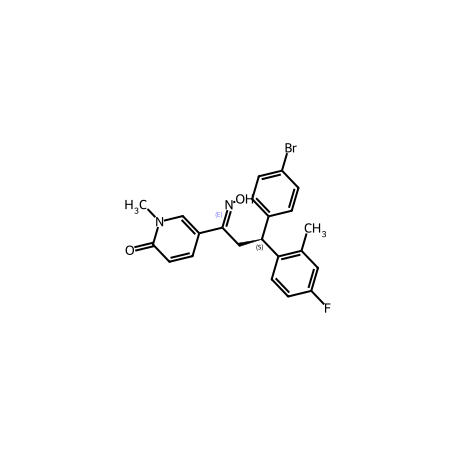 Cc1cc(F)ccc1[C@@H](C/C(=N\O)c1ccc(=O)n(C)c1)c1ccc(Br)cc1